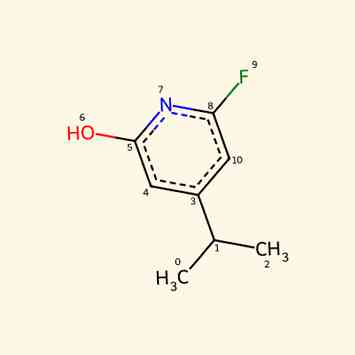 CC(C)c1cc(O)nc(F)c1